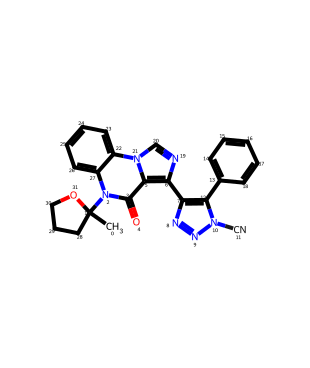 CC1(n2c(=O)c3c(-c4nnn(C#N)c4-c4ccccc4)ncn3c3ccccc32)CCCO1